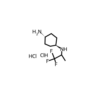 CC(N[C@H]1CC[C@H](N)CC1)C(F)(F)F.Cl.Cl